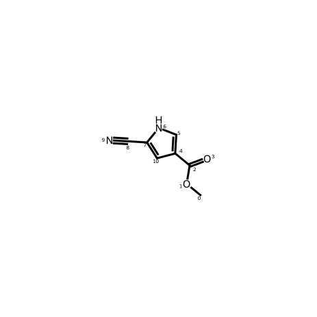 COC(=O)c1c[nH]c(C#N)c1